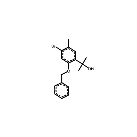 Cc1cc(C(C)(C)O)c(OCc2ccccc2)cc1Br